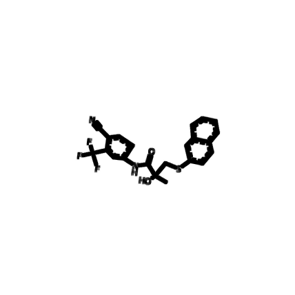 CC(O)(CSc1ccc2ccccc2c1)C(=O)Nc1ccc(C#N)c(C(F)(F)F)c1